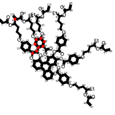 C=CC(=O)OC(CC)CCCOc1ccc(C(=O)Oc2ccc3c4ccccc4c4c(OC(=O)c5ccc(OCCCC(CC)OC(=O)C=C)cc5)c(OC(=O)c5ccc(OCCCC(CC)OC(=O)C=C)cc5)c(OC(=O)c5ccc(OCCCC(CC)OC(=O)C=C)cc5)c(OC(=O)c5ccc(OCCCC(CC)OC(=O)C=C)cc5)c4c3c2OC(=O)c2ccc(OCCCC(CC)OC(=O)C=C)cc2)cc1